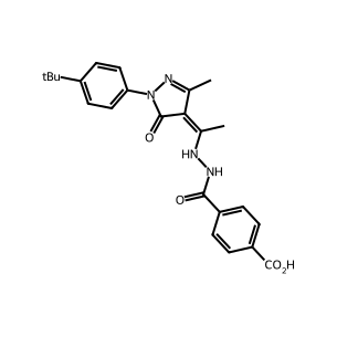 CC1=NN(c2ccc(C(C)(C)C)cc2)C(=O)/C1=C(/C)NNC(=O)c1ccc(C(=O)O)cc1